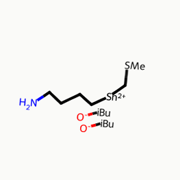 CCC(C)[O-].CCC(C)[O-].CS[CH2][Sn+2][CH2]CCCN